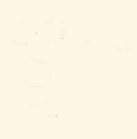 CC(Cl)(OC(=O)COCC1CC1)C(=O)c1ccc(S(C)(=O)=O)cc1